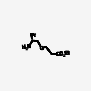 CCOC(=O)CCOC[C@H](N)C(C)C